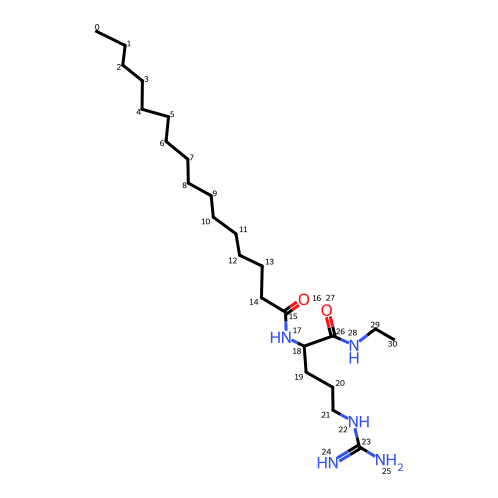 CCCCCCCCCCCCCCCC(=O)NC(CCCNC(=N)N)C(=O)NCC